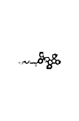 CCCOCCNc1ccc(C2(c3ccccc3)C=Cc3c4c(c5ccccc5c3O2)-c2ccccc2C42CC3CCC2C3)cc1